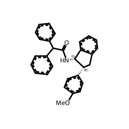 COc1ccc([C@H]2Cc3ccccc3[C@H]2NC(=O)C(c2ccccc2)c2ccccc2)cc1